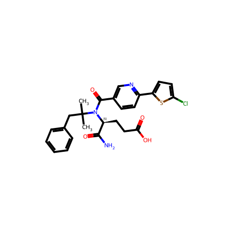 CC(C)(Cc1ccccc1)N(C(=O)c1ccc(-c2ccc(Cl)s2)nc1)[C@@H](CCC(=O)O)C(N)=O